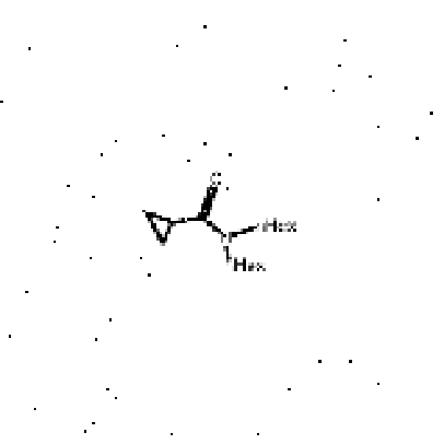 CCCCCCN(CCCCCC)C(=O)C1CC1